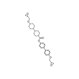 O=C(Oc1ccc(-c2ccc(OCC3CO3)cc2)cc1)C1CCC(C2CCC(OCC3CO3)CC2)CC1